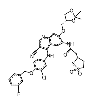 CC1(C)OC[C@@H](COc2cc3ncc(C#N)c(Nc4ccc(OCc5cccc(F)c5)c(Cl)c4)c3cc2NC(=O)C[C@H]2CCS(=O)(=O)S2)O1